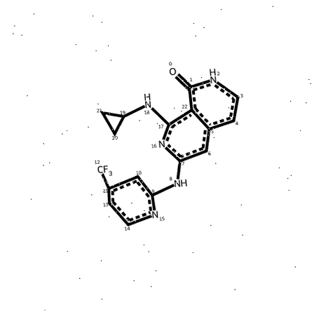 O=c1[nH]ccc2cc(Nc3cc(C(F)(F)F)ccn3)nc(NC3CC3)c12